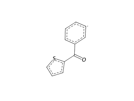 O=C(c1c[c]ccc1)c1cccs1